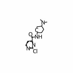 CN(C)C1CCC(NC(=O)c2ccnc(Cl)n2)CC1